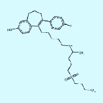 CC(CCCS(=O)(=O)CCCC(F)(F)F)NCCCCCC1=C(c2ccc(F)cc2)CCCc2cc(O)ccc21